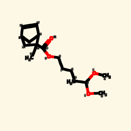 COC(OC)[SiH2]CCCOC(=O)C1(C)CC2C=CC1C2